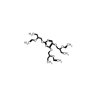 C=COC(CC)COc1ncc(OCC(CC)OC=C)c(OCC(CC)OC=C)n1